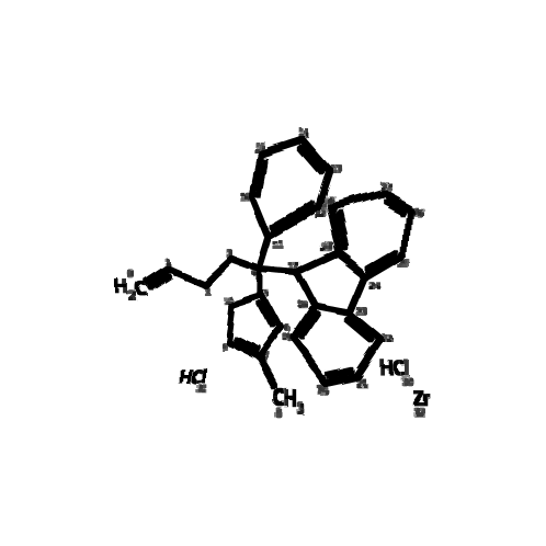 C=CCCC(C1=CC(C)=CC1)(c1ccccc1)C1c2ccccc2-c2ccccc21.Cl.Cl.[Zr]